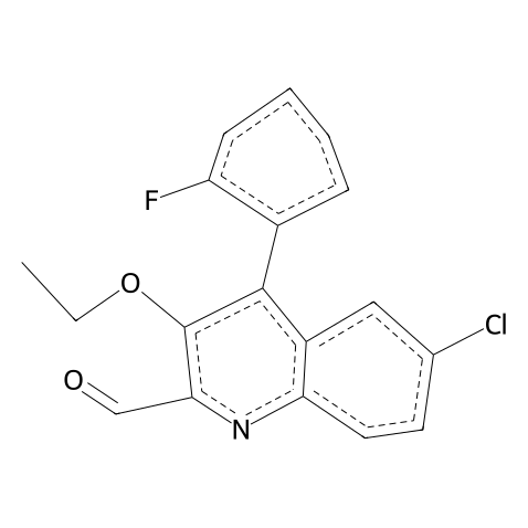 CCOc1c(C=O)nc2ccc(Cl)cc2c1-c1ccccc1F